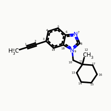 CC#Cc1ccc2ncn(CC3(C)CCCCC3)c2c1